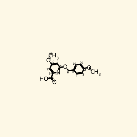 COc1ccc(COc2cc(OC)cc(C(=O)O)n2)cc1